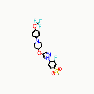 CS(=O)(=O)c1ccc(-n2cc(OC3CCN(c4ccc(OC(F)(F)F)cc4)CC3)cn2)c(F)c1